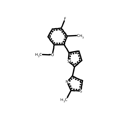 COc1ccc(F)c(C)c1-c1ccc(-c2csc(C)n2)s1